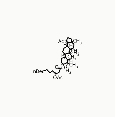 CCCCCCCCCCCCC[C@H](CC(=O)O[C@H]1CC[C@]2(C)[C@H]3CC[C@@H]4[C@H]5[C@H](C(C)=O)CC[C@]5(C)CC[C@@]4(C)[C@]3(C)CC[C@H]2C1(C)C)OC(C)=O